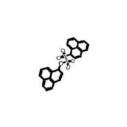 O=S(=O)(OC1C=Cc2cccc3cccc1c23)S(=O)(=O)C1C=Cc2cccc3cccc1c23